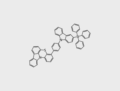 c1ccc([Si](c2ccccc2)(c2ccccc2)c2ccc3c(c2)c2ccccc2n3-c2ccc(-c3cccc4c3Sc3cccc5c6ccccc6n-4c35)cc2)cc1